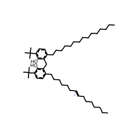 CCCCCCC/C=C/CCCCCCc1ccc(C(C)(C)C)c(O)c1Cc1c(CCCCCCCCCCCCCCC)ccc(C(C)(C)C)c1O